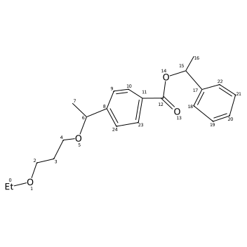 CCOCCCOC(C)c1ccc(C(=O)OC(C)c2ccccc2)cc1